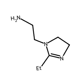 CCC1=NCCN1CCN